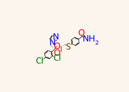 NC(=O)c1ccc(SC[C@@H]2CO[C@@](Cn3ccnc3)(c3ccc(Cl)cc3Cl)O2)cc1